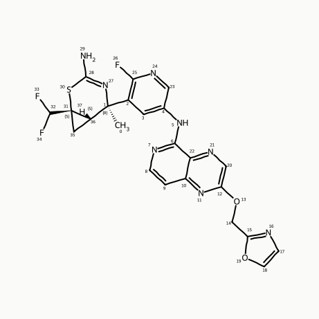 C[C@@]1(c2cc(Nc3nccc4nc(OCc5ncco5)cnc34)cnc2F)N=C(N)S[C@@]2(C(F)F)C[C@@H]12